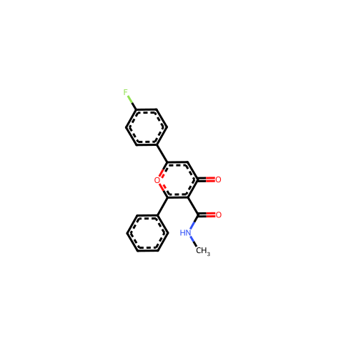 CNC(=O)c1c(-c2ccccc2)oc(-c2ccc(F)cc2)cc1=O